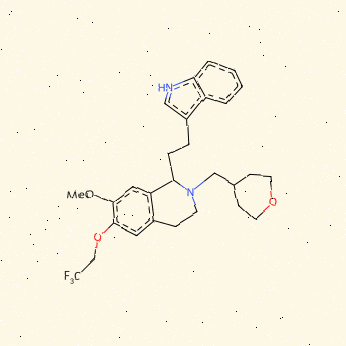 COc1cc2c(cc1OCC(F)(F)F)CCN(CC1CCOCC1)C2CCc1c[nH]c2ccccc12